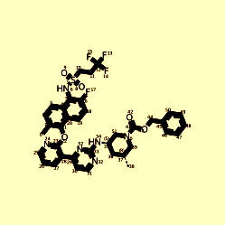 Cc1ccc2c(NS(=O)(=O)CCC(F)(F)F)c(F)ccc2c1Oc1ncccc1-c1ccnc(N[C@H]2C[C@@H](C)CN(C(=O)OCc3ccccc3)C2)n1